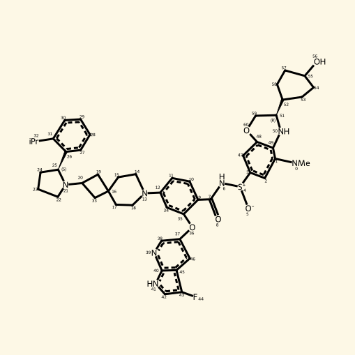 CNc1cc([S+]([O-])NC(=O)c2ccc(N3CCC4(CC3)CC(N3CCC[C@H]3c3ccccc3C(C)C)C4)cc2Oc2cnc3[nH]cc(F)c3c2)cc2c1N[C@H](C1CCC(O)CC1)CO2